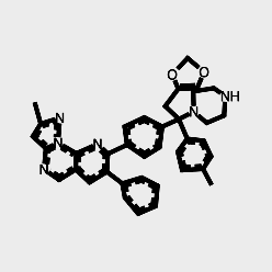 Cc1ccc(C(CC2=COCO2)(c2ccc(-c3nc4c(cnc5cc(C)nn54)cc3-c3ccccc3)cc2)N2CCNCC2)cc1